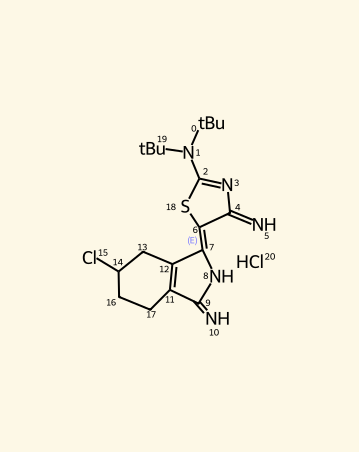 CC(C)(C)N(C1=NC(=N)/C(=C2\NC(=N)C3=C2CC(Cl)CC3)S1)C(C)(C)C.Cl